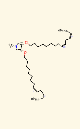 CCCCC/C=C\C/C=C\CCCCCCCCO[C@H]1CN(C)C[C@H]1OCCCCCCCC/C=C\C/C=C\CCCCC